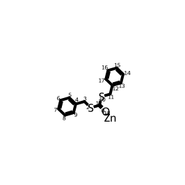 O=C(SCc1ccccc1)SCc1ccccc1.[Zn]